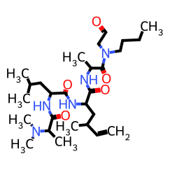 C=CC(C)CC(NC(=O)C(CC(C)C)NC(=O)C(C)N(C)C)C(=O)NC(C)C(=O)N(CC=O)CCCC